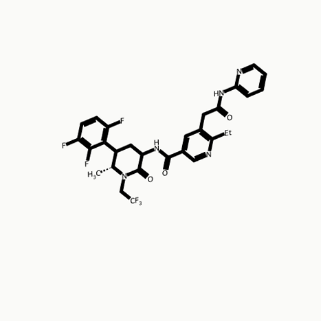 CCc1ncc(C(=O)NC2CC(c3c(F)ccc(F)c3F)[C@@H](C)N(CC(F)(F)F)C2=O)cc1CC(=O)Nc1ccccn1